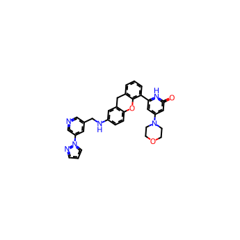 O=c1cc(N2CCOCC2)cc(-c2cccc3c2Oc2ccc(NCc4cncc(-n5cccn5)c4)cc2C3)[nH]1